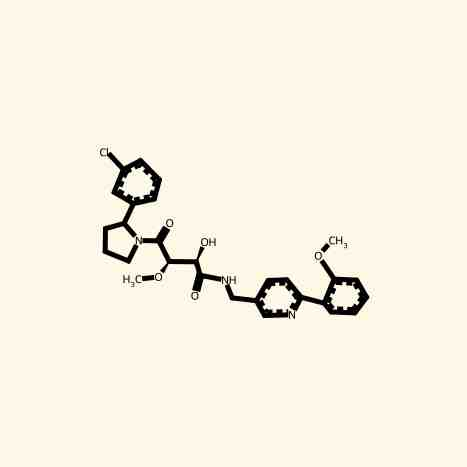 COc1ccccc1-c1ccc(CNC(=O)[C@H](O)[C@@H](OC)C(=O)N2CCCC2c2cccc(Cl)c2)cn1